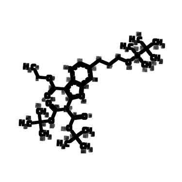 CCOC(=O)c1c(N(C(=O)OC(C)(C)C)C(=O)OC(C)(C)C)oc2cc(CCCO[Si](C)(C)C(C)(C)C)cnc12